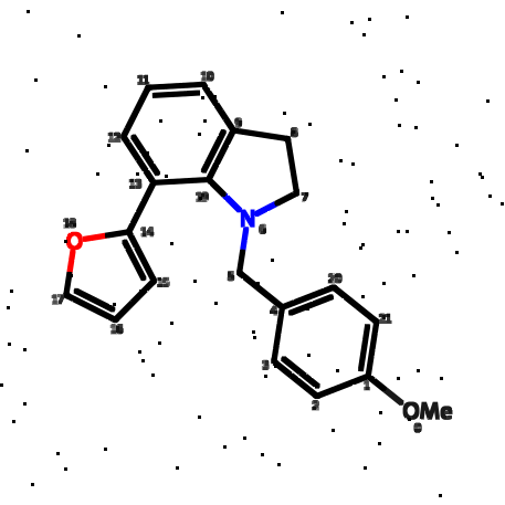 COc1ccc(CN2CCc3cccc(-c4ccco4)c32)cc1